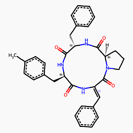 Cc1ccc(C[C@H]2NC(=O)[C@H](Cc3ccccc3)NC(=O)[C@H]3CCCN3C(=O)/C(=C/c3ccccc3)NC2=O)cc1